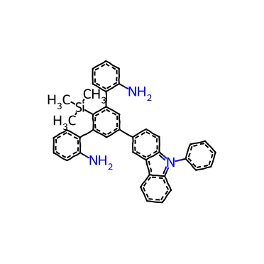 C[Si](C)(C)c1c(-c2ccccc2N)cc(-c2ccc3c(c2)c2ccccc2n3-c2ccccc2)cc1-c1ccccc1N